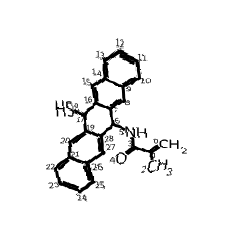 C=C(C)C(=O)NC1c2cc3ccccc3cc2C(S)c2cc3ccccc3cc21